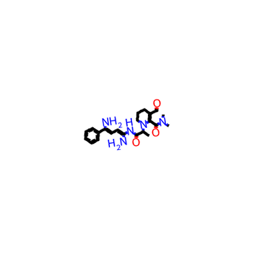 CC(C(=O)N/C(N)=C/C=C(\N)c1ccccc1)N1CCCC(C=O)=C1C(=O)N(C)C